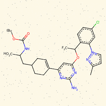 Cc1ccn(-c2cc(Cl)ccc2C(Oc2cc(C3=CCC(CC(NC(=O)OC(C)(C)C)C(=O)O)CC3)nc(N)n2)C(F)(F)F)n1